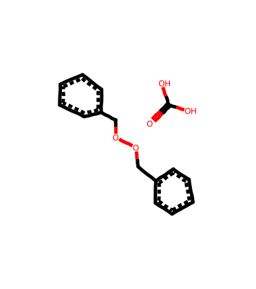 O=C(O)O.c1ccc(COOCc2ccccc2)cc1